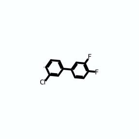 Fc1ccc(-c2cc[c]c(Cl)c2)cc1F